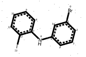 Brc1cccc(Nc2ccccc2I)c1